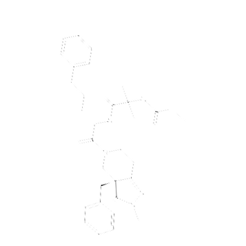 CN1N=C2CCN(C(=O)[C@H](CCCc3ccccc3)NC(=O)C(C)(C)NC(=O)OC(C)(C)C)C[C@@]2(Cc2ccccc2)C1=O